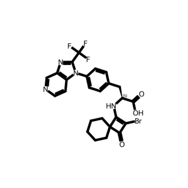 O=C(O)[C@H](Cc1ccc(-n2c(C(F)(F)F)nc3cnccc32)cc1)NC1=C(Br)C(=O)C12CCCCC2